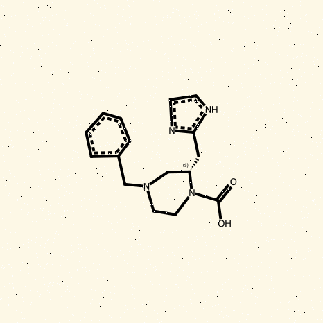 O=C(O)N1CCN(Cc2ccccc2)C[C@@H]1Cc1ncc[nH]1